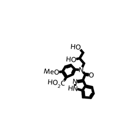 COc1ccc(N(CC(O)CO)C(=O)c2n[nH]c3ccccc23)cc1C(=O)O